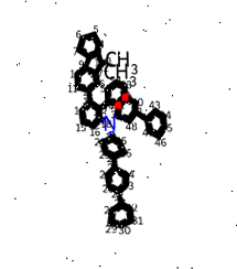 CC1(C)c2ccccc2-c2ccc(-c3cccc(N(c4ccc(-c5ccc(-c6ccccc6)cc5)cc4)c4cccc(-c5ccccc5)c4)c3-c3ccccc3)cc21